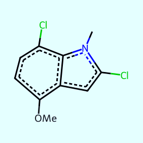 COc1ccc(Cl)c2c1cc(Cl)n2C